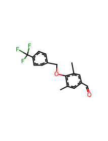 Cc1cc(C=O)cc(C)c1OCc1ccc(C(F)(F)F)cc1